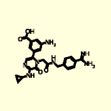 N=C(N)c1ccc(CNC(=O)Cn2c(-c3cc(N)cc(C(=O)O)c3)cnc(NC3CC3)c2=O)cc1